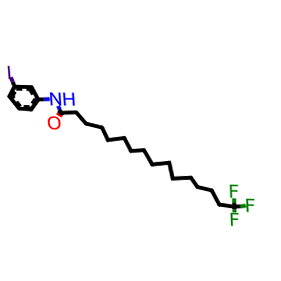 O=C(CCCCCCCCCCCCCCC(F)(F)F)Nc1cccc(I)c1